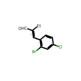 CC/C(C=O)=C\c1ccc(Cl)cc1Br